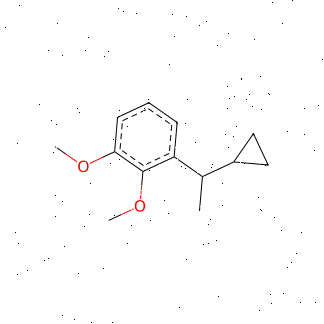 COc1cccc(C(C)C2CC2)c1OC